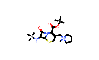 C[N+]1(CC2=C(C(=O)O[Si](C)(C)C)N3C(=O)C(N[Si](C)(C)C)C3SC2)CCCC1